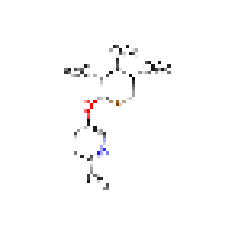 CC(=O)O[C@@H]1[C@@H](OC(C)=O)[C@H](OC(C)=O)CS[C@H]1Oc1ccc(C(F)(F)F)nc1